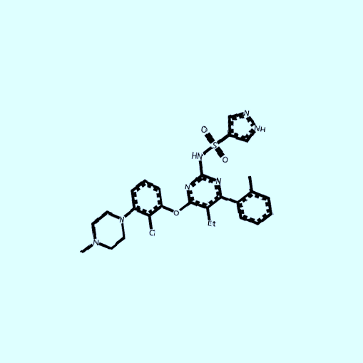 CCc1c(Oc2cccc(N3CCN(C)CC3)c2Cl)nc(NS(=O)(=O)c2cn[nH]c2)nc1-c1ccccc1C